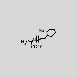 C/C(=N/NCCC1CCCCC1)C(=O)[O-].[Na+]